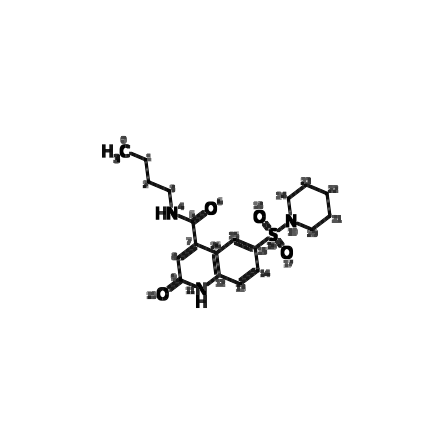 CCCCNC(=O)c1cc(=O)[nH]c2ccc(S(=O)(=O)N3CCCCC3)cc12